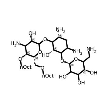 CCCCCCCCOC[C@H]1OC(OC2[C@@H](O)C(O[C@H]3OC(CN)[C@@H](O)C(O)C3O)C(N)C[C@H]2N)[C@H](O)C(N)[C@@H]1OCCCCCCCC